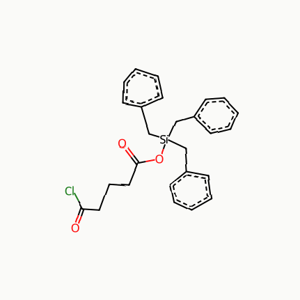 O=C(Cl)CCCC(=O)O[Si](Cc1ccccc1)(Cc1ccccc1)Cc1ccccc1